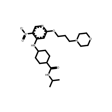 CC(C)NC(=O)C1CCC(Nc2cc(OCCCN3CCOCC3)ncc2[N+](=O)[O-])CC1